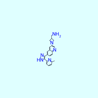 Cc1cccc(-c2[nH]cnc2-c2ccc3ncc(N4CC(CN)C4)cc3c2)n1